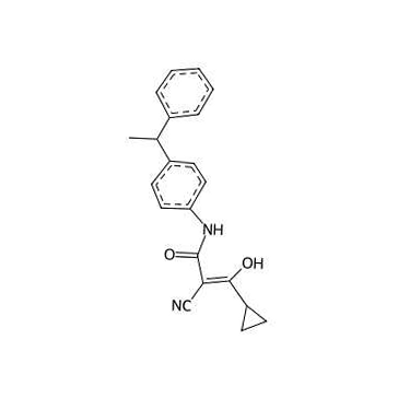 CC(c1ccccc1)c1ccc(NC(=O)C(C#N)=C(O)C2CC2)cc1